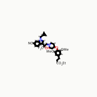 CCOC(=O)CCc1cc(OC)c(OC2CCN(CC(O)(c3cn(CC4CC4)c4cc(C#N)ccc34)C(F)(F)F)CC2)c(OC)c1